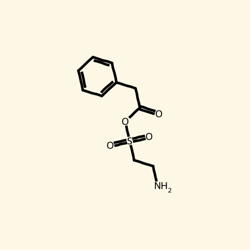 NCCS(=O)(=O)OC(=O)Cc1ccccc1